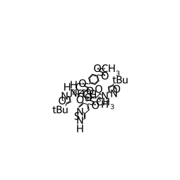 CC(C)(C)c1cc(NC(=O)C(C)(C)S(=O)(=O)C2=CC3=CNSN3C=C2)no1.CC(C)(C)c1cc(NC(=O)C(C)(C)S(=O)(=O)c2ccc(S(C)(=O)=O)cc2)no1